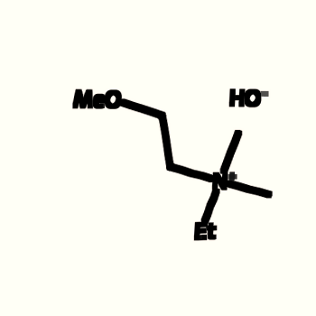 CC[N+](C)(C)CCOC.[OH-]